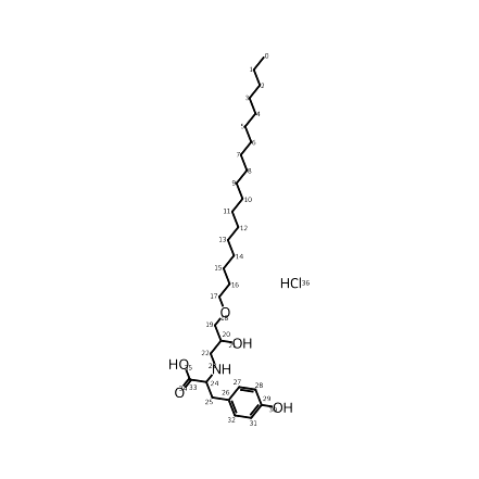 CCCCCCCCCCCCCCCCCCOCC(O)CNC(Cc1ccc(O)cc1)C(=O)O.Cl